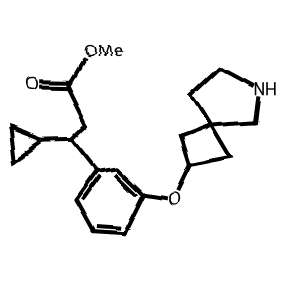 COC(=O)CC(c1cccc(OC2CC3(CCNC3)C2)c1)C1CC1